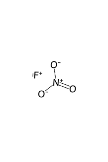 O=[N+]([O-])[O-].[F+]